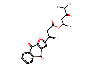 C=C(CC(=O)OC(C)CC(=O)C(CC)CC)c1cc2c(o1)C(=O)c1ccccc1C2=O